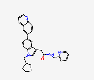 O=C(Cc1cn(CC2CCCC2)c2ccc(-c3ccc4ncccc4c3)cc12)NCc1ccccn1